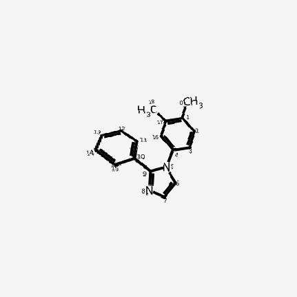 Cc1ccc(-n2ccnc2-c2ccccc2)cc1C